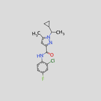 Cc1cc(C(=O)Nc2ccc(F)cc2Cl)nn1C(C)C1CC1